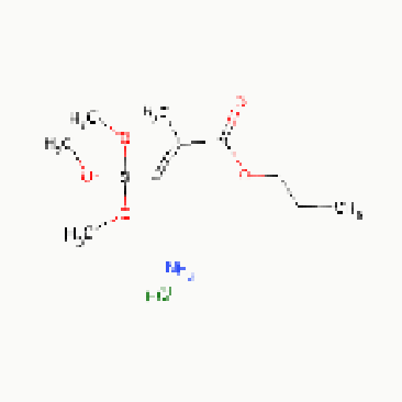 CCCOC(=O)C(C)=C[Si](OC)(OC)OC.Cl.N